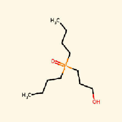 CCCCP(=O)(CCCC)CCCO